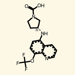 O=C(O)N1CC[C@@H](Nc2ccc(OC(F)(F)F)c3ncccc23)C1